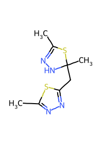 CC1=NNC(C)(Cc2nnc(C)s2)S1